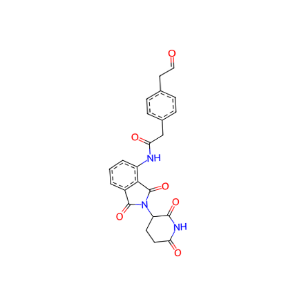 O=CCc1ccc(CC(=O)Nc2cccc3c2C(=O)N(C2CCC(=O)NC2=O)C3=O)cc1